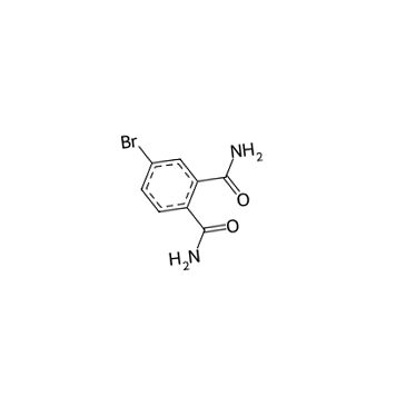 NC(=O)c1ccc(Br)cc1C(N)=O